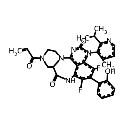 C=CC(=O)N1CCN2c3nc(=O)n(-c4c(C)ccnc4C(C)C)c4c(F)c(-c5ccccc5O)c(F)c(c34)NC(=O)C2C1